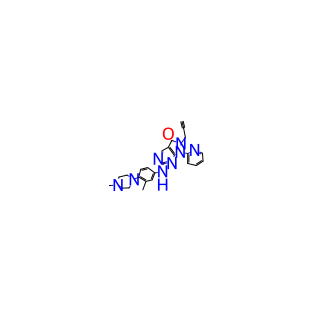 C#CCn1c(=O)c2cnc(Nc3ccc(N4CCN(C)CC4)c(C)c3)nc2n1-c1ccccn1